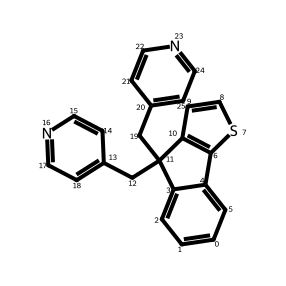 c1ccc2c(c1)-c1sccc1C2(Cc1ccncc1)Cc1ccncc1